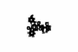 Cc1cccc(C[C@@H](CN2C(=O)c3ccccc3C2=O)NC(=O)c2cc(-c3c(Cl)cnn3C)c(C)o2)c1